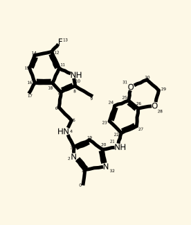 Cc1nc(NCCc2c(C)[nH]c3c(F)ccc(C)c23)cc(Nc2ccc3c(c2)OCCO3)n1